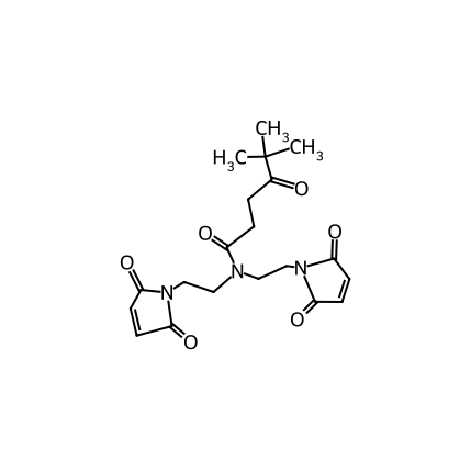 CC(C)(C)C(=O)CCC(=O)N(CCN1C(=O)C=CC1=O)CCN1C(=O)C=CC1=O